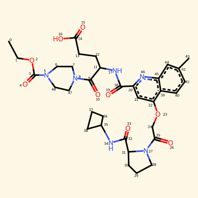 CCOC(=O)N1CCN(C(=O)C(CCC(=O)O)NC(=O)c2cc(OCC(=O)N3CCCC3C(=O)NC3CCC3)c3ccc(C)cc3n2)CC1